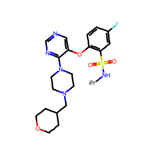 CC(C)NS(=O)(=O)c1cc(F)ccc1Oc1cncnc1N1CCN(CC2CCOCC2)CC1